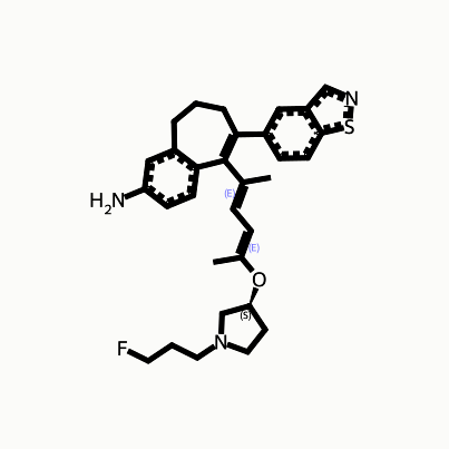 C/C(=C\C=C(/C)C1=C(c2ccc3sncc3c2)CCCc2cc(N)ccc21)O[C@H]1CCN(CCCF)C1